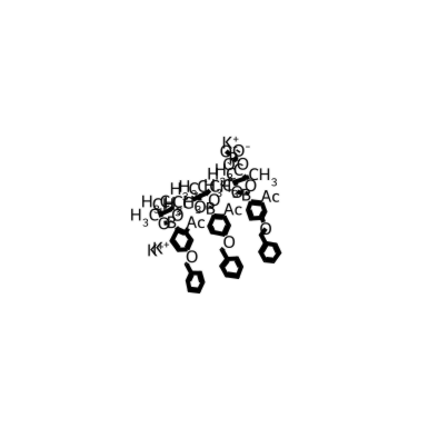 CC(=O)c1cc(OCc2ccccc2)ccc1B1OC(C)(C)C(C)(C)O1.CC(=O)c1cc(OCc2ccccc2)ccc1B1OC(C)(C)C(C)(C)O1.CC(=O)c1cc(OCc2ccccc2)ccc1B1OC(C)(C)C(C)(C)O1.O=P([O-])([O-])[O-].[K+].[K+].[K+]